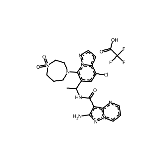 CC(NC(=O)c1c(N)nn2cccnc12)c1cc(Cl)c2ccnn2c1N1CCCS(=O)(=O)CC1.O=C(O)C(F)(F)F